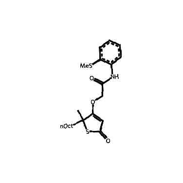 CCCCCCCCC1(C)SC(=O)C=C1OCC(=O)Nc1ccccc1SC